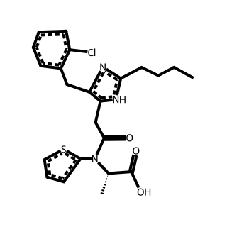 CCCCc1nc(Cc2ccccc2Cl)c(CC(=O)N(c2cccs2)[C@@H](C)C(=O)O)[nH]1